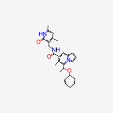 Cc1cc(C)c(CNC(=O)c2cc3cccn3c(C(C)OC3C=CCCC3)c2C)c(=O)[nH]1